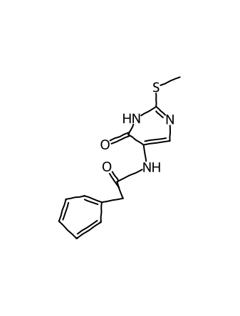 CSc1ncc(NC(=O)Cc2ccccc2)c(=O)[nH]1